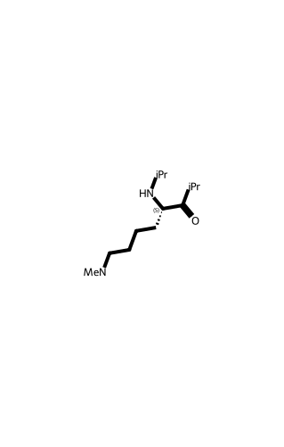 CNCCCC[C@H](NC(C)C)C(=O)C(C)C